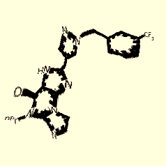 CCCn1c(=O)c2[nH]c(-c3cnn(Cc4cccc(C(F)(F)F)c4)c3)nc2n2ccnc12